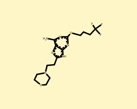 Nc1nc(OCCCC(F)(F)F)nc2[nH]c(CCN3CCOCC3)nc12